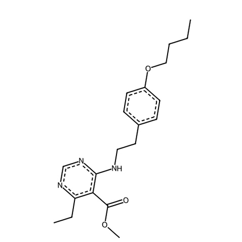 CCCCOc1ccc(CCNc2ncnc(CC)c2C(=O)OC)cc1